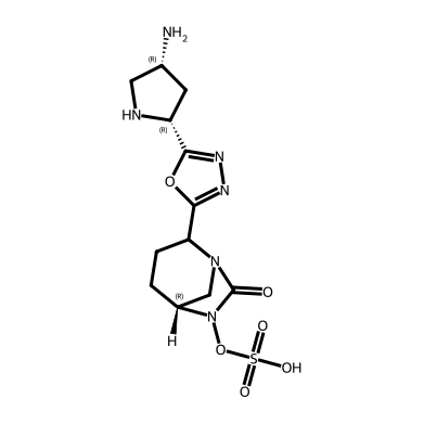 N[C@H]1CN[C@@H](c2nnc(C3CC[C@@H]4CN3C(=O)N4OS(=O)(=O)O)o2)C1